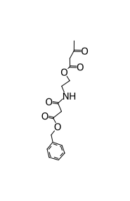 CC(=O)CC(=O)OCCNC(=O)CC(=O)OCc1ccccc1